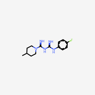 CC1CCN(C(=N)NC(=N)Nc2ccc(F)cc2)CC1